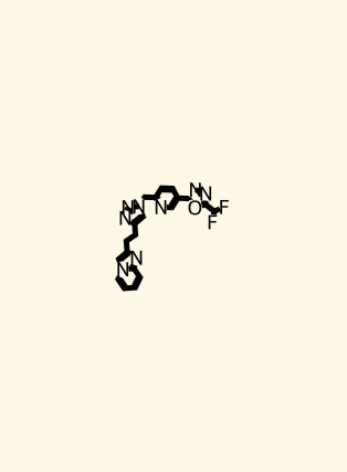 FC(F)c1nnc(-c2ccc(Cn3cc(CCc4cn5ccccc5n4)nn3)nc2)o1